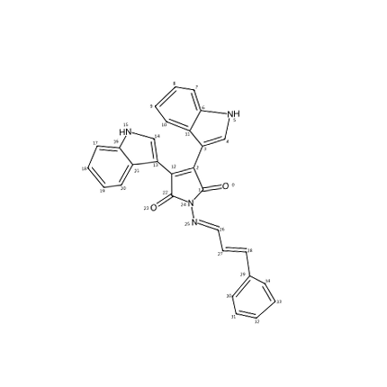 O=C1C(c2c[nH]c3ccccc23)=C(c2c[nH]c3ccccc23)C(=O)N1/N=C/C=C/c1ccccc1